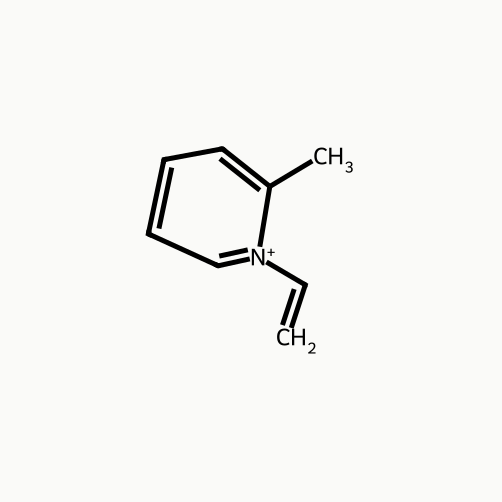 C=C[n+]1ccccc1C